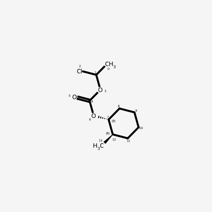 CC(Cl)OC(=O)O[C@@H]1CCCC[C@H]1C